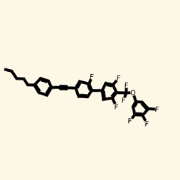 CCCCCc1ccc(C#Cc2ccc(-c3cc(F)c(C(F)(F)Oc4cc(F)c(F)c(F)c4)c(F)c3)c(F)c2)cc1